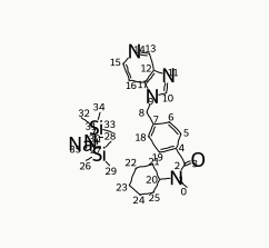 CN(C(=O)c1ccc(Cn2cnc3cnccc32)cc1)C1CCCCC1.C[Si](C)(C)[N-][Si](C)(C)C.[Na+]